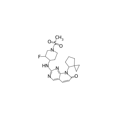 CS(=O)(=O)N1CCC(Nc2ncc3ccc(=O)n(C4CCCC45CC5)c3n2)C(F)C1